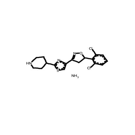 Clc1cccc(Cl)c1C1CC(c2csc(C3CCNCC3)n2)=NO1.N